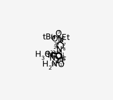 CCN(C(=O)OC(C)(C)C)C1CCN(c2cc(F)c(C(N)=O)c3nn(C)cc23)CC1